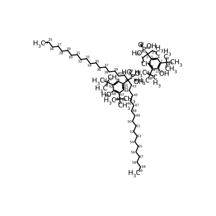 CCC(CC)(c1cc(C(C)(C)C)c(O)c(C(C)(C)C)c1)P(=O)(O)O.CCCCCCCCCCCCCCCCCCC(CCCCCCCCCCCCCCCCCC)(c1cc(C(C)(C)C)c(O)c(C(C)(C)C)c1)P(=O)(O)O